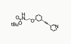 CC(C)(C)OC(=O)NCCOc1cccc(C#Cc2cccnc2)c1